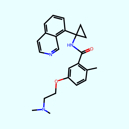 Cc1ccc(OCCN(C)C)cc1C(=O)NC1(c2cccc3ccncc23)CC1